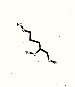 CCOCC(CCCOC#N)OC#N